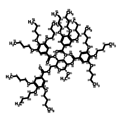 CCCCOc1cc(C(=O)OCC2O[C@@H](OC)C(OC(=O)c3cc(OCCCC)c(OCCCC)c(OCCCC)c3)[C@@H](OC(=O)c3cc(OCCCC)c(OCCCC)c(OCCCC)c3)[C@@H]2OC(=O)c2cc(OCCCC)c(OCCCC)c(OCCCC)c2)cc(OCCCC)c1OCCCC